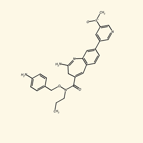 CCCN(OCc1ccc(N)cc1)C(=O)C1=Cc2ccc(-c3cncc([S+](C)[O-])c3)cc2N=C(N)C1